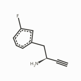 C#C[C@@H](N)Cc1cccc(F)c1